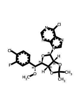 CO[C@H](c1ccc(Cl)c(F)c1)[C@H]1O[C@@H](n2cnc3c(Cl)ncnc32)[C@@H]2OC(C)(C)O[C@@H]21